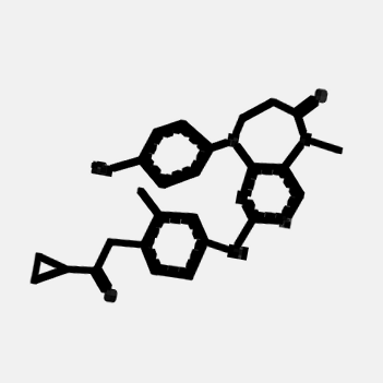 Cc1cc(Nc2ncc3c(n2)N(c2ccc(C(C)(C)C)cc2)CCC(=O)N3C)ccc1CC(=O)C1CC1